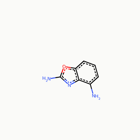 Nc1nc2c(N)cccc2o1